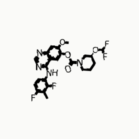 COc1cc2ncnc(Nc3ccc(F)c(C)c3F)c2cc1OC(=O)N1CCC[C@H](OC(F)F)C1